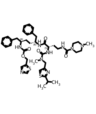 CC(C)c1nc(CN(C)C(=O)N[C@@H](CCNC(=O)N2CCN(C)CC2)C(=O)N[C@H](CC[C@H](Cc2ccccc2)NC(=O)OCc2cncs2)Cc2ccccc2)cs1